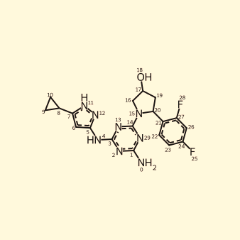 Nc1nc(Nc2cc(C3CC3)[nH]n2)nc(N2CC(O)CC2c2ccc(F)cc2F)n1